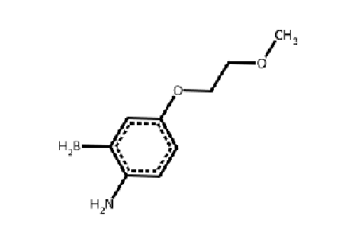 Bc1cc(OCCOC)ccc1N